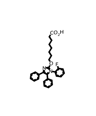 O=C(O)CCCCCCCOc1nc(-c2ccccc2)c(-c2ccccc2)n1-c1ccccc1F